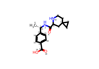 C[C@H](NC(=O)C1CC2(CCN1)CC2)c1ccc(C(=O)O)cc1